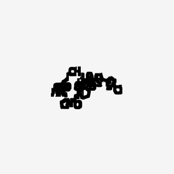 CCCCS(=O)(=O)NC[C@H]1CCCN1C(=O)CN1CCC[C@H](NS(=O)(=O)c2ccc(-c3ccc(Cl)s3)s2)C1=O